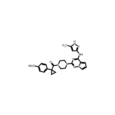 COc1ccc(C2(C(=O)N3CCN(c4nc(Nc5cc(C)[nH]n5)c5cccn5n4)CC3)CC2)cc1